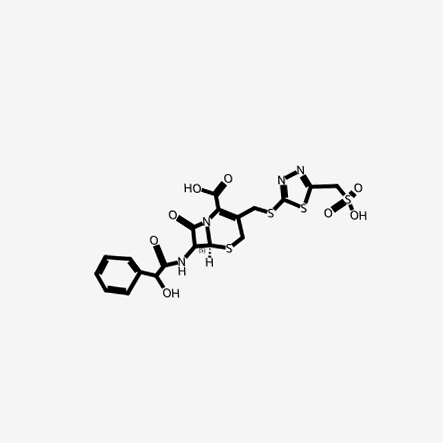 O=C(O)C1=C(CSc2nnc(CS(=O)(=O)O)s2)CS[C@H]2C(NC(=O)C(O)c3ccccc3)C(=O)N12